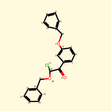 O=C(c1cccc(OCc2ccccc2)c1)C(Cl)OCc1ccccc1